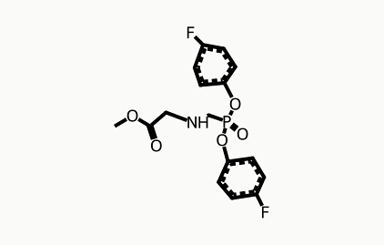 COC(=O)CNCP(=O)(Oc1ccc(F)cc1)Oc1ccc(F)cc1